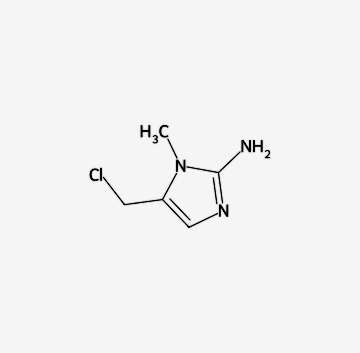 Cn1c(CCl)cnc1N